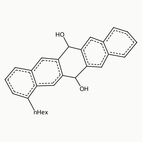 CCCCCCc1cccc2cc3c(cc12)C(O)c1cc2ccccc2cc1C3O